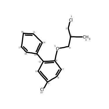 CC(CCl)COc1ccc(Cl)cc1-c1ccccc1